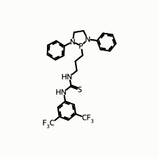 FC(F)(F)c1cc(NC(=S)NCCCP2N(c3ccccc3)CCN2c2ccccc2)cc(C(F)(F)F)c1